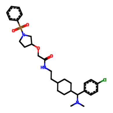 CN(C)C(c1ccc(Cl)cc1)C1CCC(CCNC(=O)COC2CCN(S(=O)(=O)c3ccccc3)C2)CC1